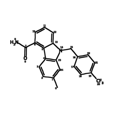 Cc1c[c]c2c3c(C(N)=O)cccc3n(Cc3ccc(C(F)(F)F)cc3)c2c1